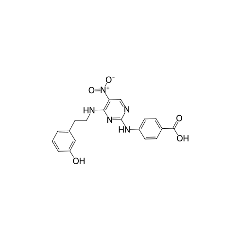 O=C(O)c1ccc(Nc2ncc([N+](=O)[O-])c(NCCc3cccc(O)c3)n2)cc1